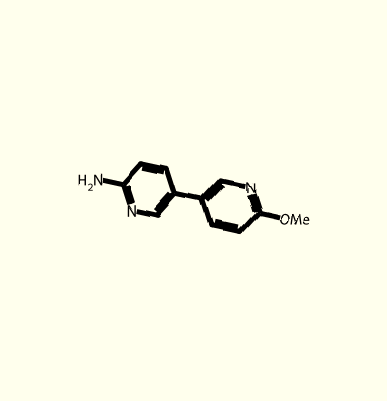 COc1ccc(-c2ccc(N)nc2)cn1